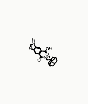 O=C(O)c1cc2[nH]cnc2cc1C(=O)NCC12CC3CC(CC(C3)C1)C2